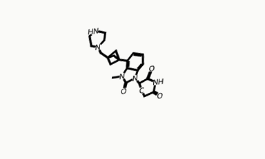 Cn1c(=O)n(C2CCC(=O)NC2=O)c2cccc(C34CC(CN5CCNCC5)(C3)C4)c21